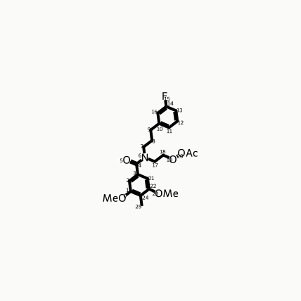 COc1cc(C(=O)N(CCCc2cccc(F)c2)CCOOC(C)=O)cc(OC)c1C